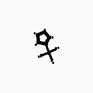 FC(F)(F)c1ncsn1